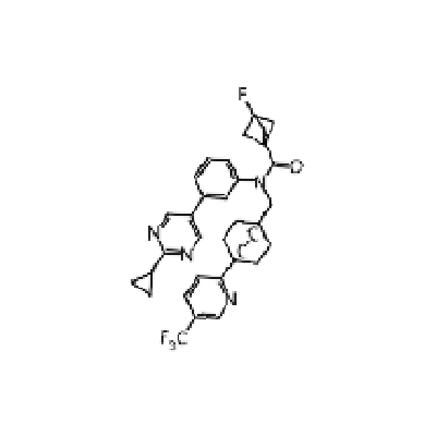 O=C(N(CC12CCC(c3ccc(C(F)(F)F)cn3)(CC1)CC2)c1cccc(-c2cnc(C3CC3)nc2)c1)C12CC(F)(C1)C2